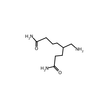 NCC(CCCC(N)=O)CCC(N)=O